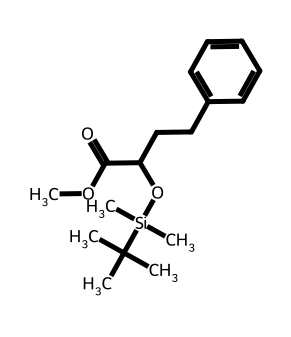 COC(=O)C(CCc1ccccc1)O[Si](C)(C)C(C)(C)C